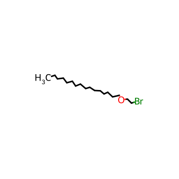 CCCCCCCCCCCCCCCCOCCBr